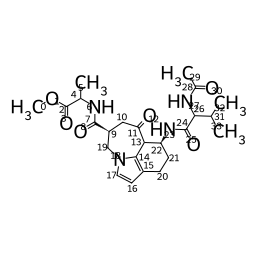 COC(=O)C(C)NC(=O)[C@H]1CC(=O)C2c3c(ccn3C1)CC[C@@H]2NC(=O)C(NC(C)=O)C(C)C